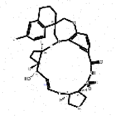 O=C1NS(=O)(=O)[C@H]2COC[C@H]2C/C=C/[C@H](O)[C@@H]2CC[C@H]2CN2C[C@@]3(CCCc4cc(Cl)ccc43)COc3ccc1cc32